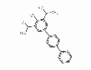 CC(C)c1cc(-c2ccc(-c3ccccc3)cc2)cc(C(C)C)c1N